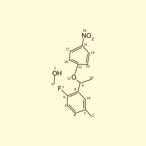 CO.Cc1ccc(F)c(C(C)Oc2ccc([N+](=O)[O-])cc2)c1